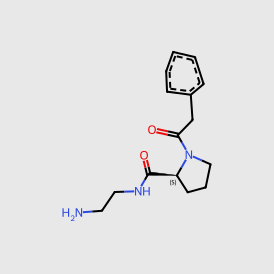 NCCNC(=O)[C@@H]1CCCN1C(=O)Cc1ccccc1